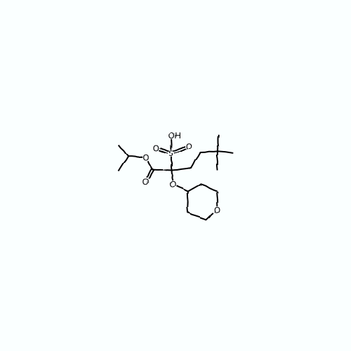 CC(C)OC(=O)C(CCC(C)(C)C)(OC1CCOCC1)S(=O)(=O)O